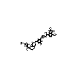 CC(C)c1nc(C(=O)N2CCOC3(CCN(Cc4cc(F)cc(CCNC[C@H](O)c5ccc(O)c6[nH]c(=O)sc56)c4)CC3)C2)cs1